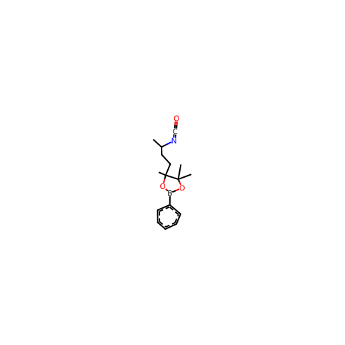 CC(CCC1(C)OB(c2ccccc2)OC1(C)C)N=C=O